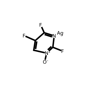 [Ag].[O-][n+]1cc(F)c(F)nc1F